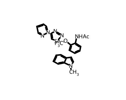 CC(=O)Nc1ccccc1OC(F)(F)F.Cn1ccc2ccccc21.c1c[se]nn1.c1ccnnc1